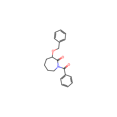 O=C(c1ccccc1)N1CCCCC(OCc2ccccc2)C1=O